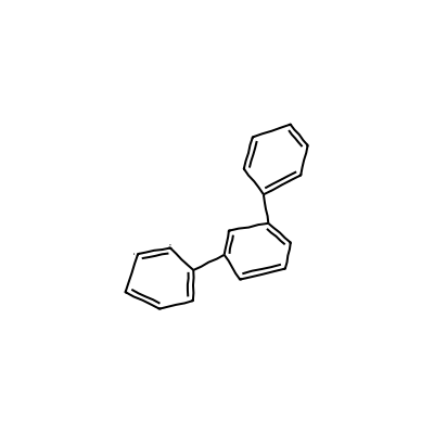 [c]1[c]c(-c2cccc(-c3ccccc3)c2)ccc1